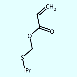 C=CC(=O)OCSC(C)C